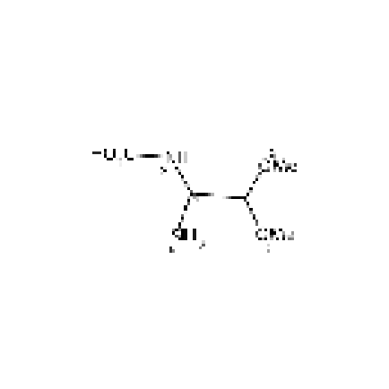 COC(OC)C([SiH3])NC(=O)O